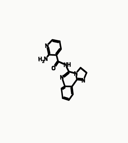 Nc1ncccc1C(=O)NC1=Nc2ccccc2C2=NCCN12